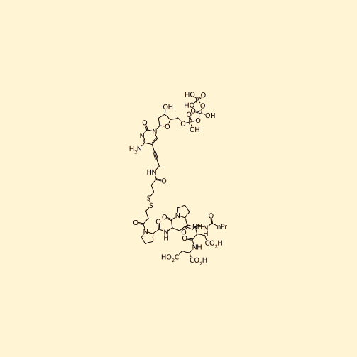 CCCC(=O)NCCCCC(NC(=O)C1CCCN1C(=O)CCSSCCC(=O)NCC#Cc1cn(C2CC(O)C(COP(=O)(O)OP(=O)(O)OP(=O)(O)O)O2)c(=O)nc1N)C(=O)N1CCCC1C(=O)NC(CC(=O)O)C(=O)NC(CC(=O)O)C(=O)O